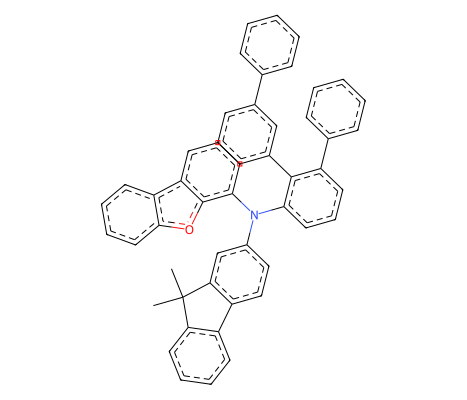 CC1(C)c2ccccc2-c2ccc(N(c3cccc(-c4ccccc4)c3-c3cccc(-c4ccccc4)c3)c3cccc4c3oc3ccccc34)cc21